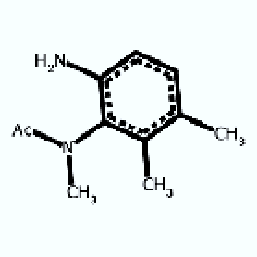 CC(=O)N(C)c1c(N)ccc(C)c1C